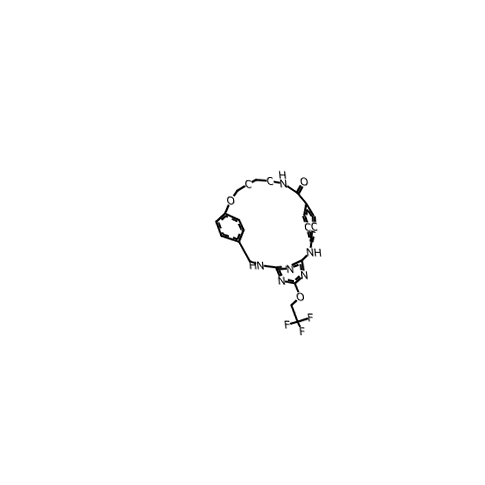 O=C1NCCCCOc2ccc(cc2)CNc2nc(nc(OCC(F)(F)F)n2)Nc2ccc1cc2